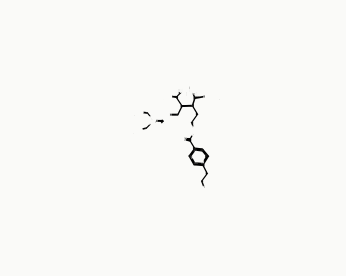 CCCc1ccc(C(=O)OCCC(C(C)C)C(COC(=O)N(CC)CC)C(C)C)cc1